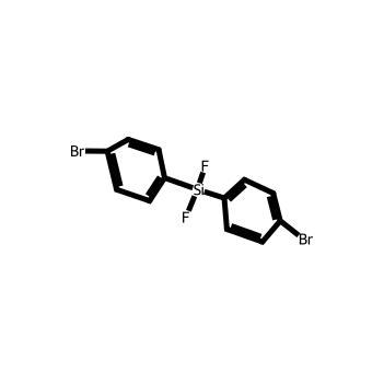 F[Si](F)(c1ccc(Br)cc1)c1ccc(Br)cc1